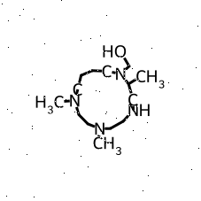 CC1CNCCN(C)CCN(C)CCCCN1CO